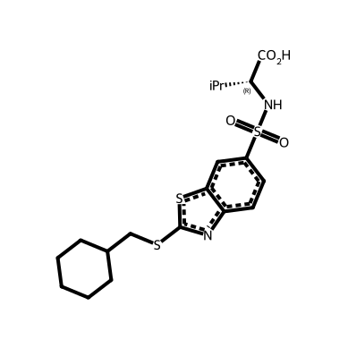 CC(C)[C@@H](NS(=O)(=O)c1ccc2nc(SCC3CCCCC3)sc2c1)C(=O)O